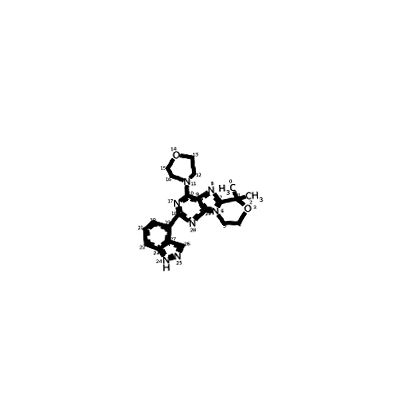 CC1(C)OCCn2c1nc1c(N3CCOCC3)nc(-c3cccc4[nH]ncc34)nc12